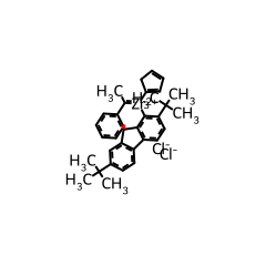 C/[C](c1ccccc1)=[Zr+2](\[C]1=CC=CC1)[c]1c(C(C)(C)C)ccc2c1Cc1cc(C(C)(C)C)ccc1-2.[Cl-].[Cl-]